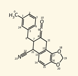 Cc1cccc(CC2C(=C=O)Cc3c(ccc4c3OCO4)C2C#N)c1